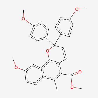 COC(=O)c1c2c(c3cc(OC)ccc3c1C)OC(c1ccc(OC)cc1)(c1ccc(OC)cc1)C=C2